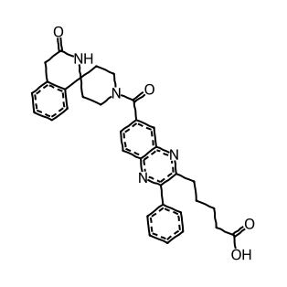 O=C(O)CCCCc1nc2cc(C(=O)N3CCC4(CC3)NC(=O)Cc3ccccc34)ccc2nc1-c1ccccc1